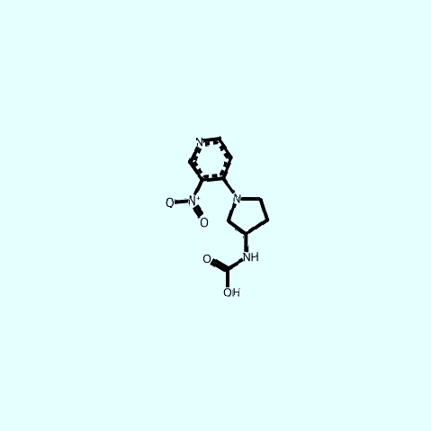 O=C(O)NC1CCN(c2ccncc2[N+](=O)[O-])C1